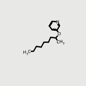 CCCCCCCC(C)Oc1cccnc1